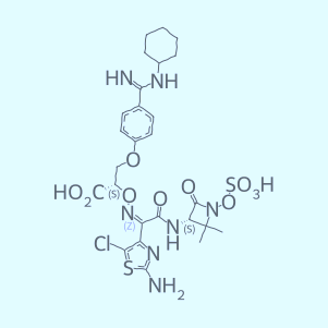 CC1(C)[C@H](NC(=O)/C(=N\O[C@@H](COc2ccc(C(=N)NC3CCCCC3)cc2)C(=O)O)c2nc(N)sc2Cl)C(=O)N1OS(=O)(=O)O